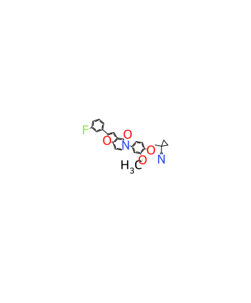 COc1cc(-n2ccc3oc(-c4cccc(F)c4)cc3c2=O)ccc1OCC1(C#N)CC1